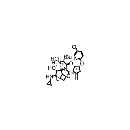 CC(C)(C)[C@H](N)C(=O)N(C(=O)[C@@H]1C[C@@H](Oc2ccc(Cl)cn2)CN1)[C@@](C)(C1CCC1)C(O)C(=O)NC1CC1.Cl